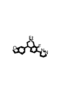 CCN1Cc2c(ccc(-c3cccnn3)c2F)C(c2ccc3ccoc3c2)C1